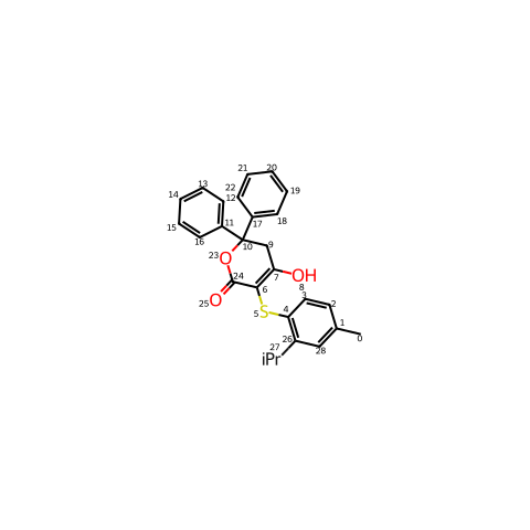 Cc1ccc(SC2=C(O)CC(c3ccccc3)(c3ccccc3)OC2=O)c(C(C)C)c1